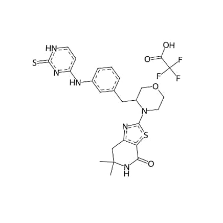 CC1(C)Cc2nc(N3CCOCC3Cc3cccc(Nc4cc[nH]c(=S)n4)c3)sc2C(=O)N1.O=C(O)C(F)(F)F